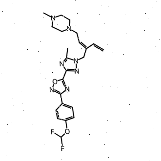 C=C/C(=C\CN1CCN(C)CC1)Cn1nc(-c2nc(-c3ccc(OC(F)F)cc3)no2)nc1C